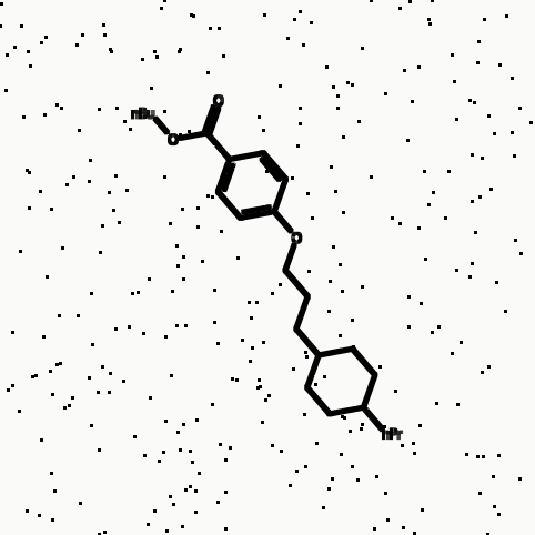 CCCCOC(=O)c1ccc(OCCCC2CCC(CCC)CC2)cc1